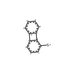 [S]c1cccc2c1-c1ccccc1-2